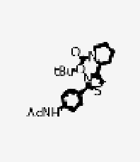 CC(=O)Nc1ccc(-c2nc(C3CCCCN3C(=O)OC(C)(C)C)cs2)cc1